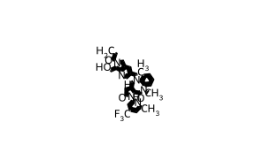 C=CC(=O)N1Cc2cc(CN3C[C@H]4CC(=O)N(c5cc(C(F)(F)F)cc(C)n5)[C@@H]4C(=O)N(C)c4cccc(C)c43)cnc2C1CO